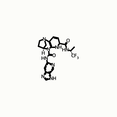 C[C@@H](NC(=O)C1C=CC2=C(N1)N(C(=O)Nc1cc3nc[nH]c3cn1)[C@H]1CCN2C1)C(F)(F)F